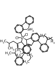 CCc1ccc2c(c1-c1ccccc1C(C)C)C=C(CC(C)C)[CH]2[Zr]([Cl])([Cl])([c]1cccc2c1[SiH2]c1ccccc1-2)[CH]1C(CC(C)C)=Cc2c1ccc(CC)c2-c1ccccc1C(C)C